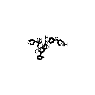 CC1=C(c2cc3cnc(Nc4ccc(OC5CCNCC5)cc4)nc3n(Cc3cnoc3C3CCOCC3)c2=O)CCC1